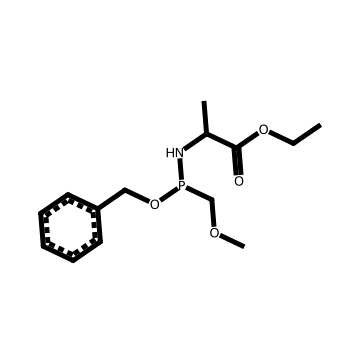 CCOC(=O)C(C)NP(COC)OCc1ccccc1